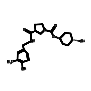 Cc1cc(CNC(=O)[C@H]2CCN(C(=O)O[C@H]3CC[C@@H](C(C)(C)C)CC3)C2)ccc1O